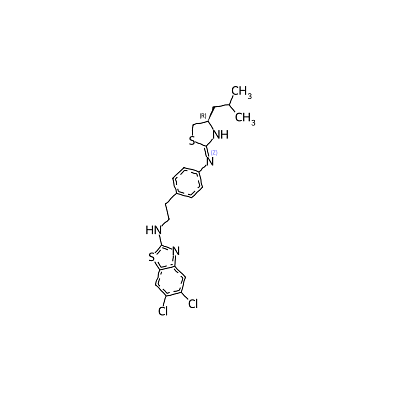 CC(C)C[C@@H]1CS/C(=N\c2ccc(CCNc3nc4cc(Cl)c(Cl)cc4s3)cc2)N1